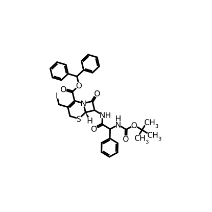 CC(C)(C)OC(=O)NC(C(=O)NC1C(=O)N2C(C(=O)OC(c3ccccc3)c3ccccc3)=C(CI)CS[C@@H]12)c1ccccc1